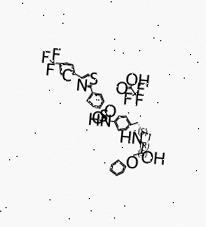 O=C(O)C(F)(F)F.O=S(=O)(Nc1ccc(C[C@@H]2CC[C@H]([C@H](O)COc3ccccc3)N2)cc1)c1ccc(-c2nc(-c3ccc(C(F)(F)F)cc3)cs2)cc1